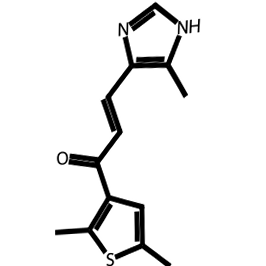 Cc1cc(C(=O)C=Cc2nc[nH]c2C)c(C)s1